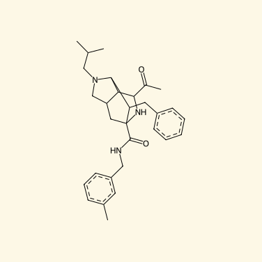 CC(=O)C1NC2(C(=O)NCc3cccc(C)c3)CC3CN(CC(C)C)C(C31)C2Cc1ccccc1